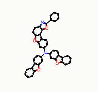 c1ccc(-c2nc3ccc4oc5cc(N(c6ccc7c(c6)oc6ccccc67)c6ccc7c(c6)oc6ccccc67)ccc5c4c3o2)cc1